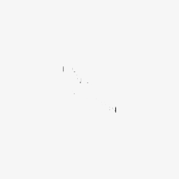 CN1C[CH]C(C#N)C1